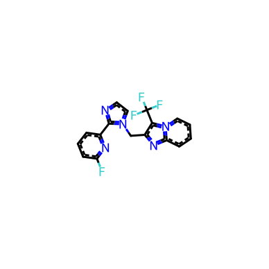 Fc1cccc(-c2nccn2Cc2nc3ccccn3c2C(F)(F)F)n1